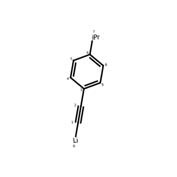 [Li][C]#Cc1ccc(C(C)C)cc1